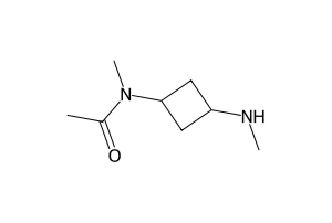 CNC1CC(N(C)C(C)=O)C1